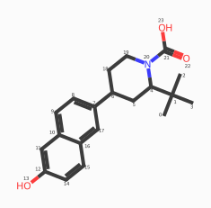 CC(C)(C)C1CC(c2ccc3cc(O)ccc3c2)CCN1C(=O)O